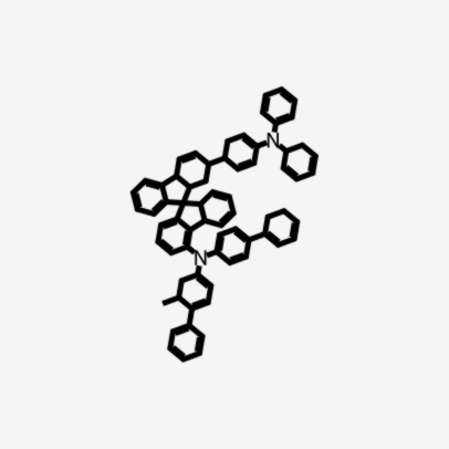 CC1CC(N(c2ccc(C3=CC=CCC3)cc2)c2cccc3c2C2C=CC=CC2C32c3ccccc3C3C=CC(C4C=CC(N(c5ccccc5)C5C=CC=CC5)=CC4)CC32)=CC=C1c1ccccc1